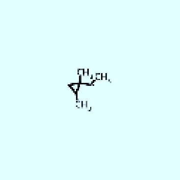 C[CH]C1(C)CC1C